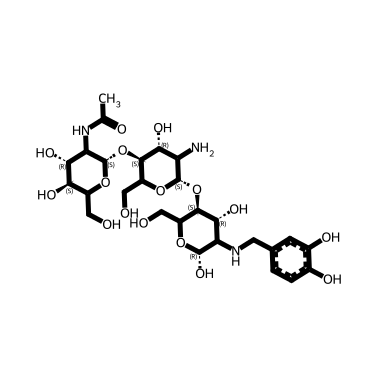 CC(=O)NC1[C@H](O[C@@H]2C(CO)O[C@@H](O[C@@H]3C(CO)O[C@@H](O)C(NCc4ccc(O)c(O)c4)[C@H]3O)C(N)[C@H]2O)OC(CO)[C@@H](O)[C@@H]1O